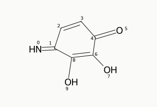 N=C1C=CC(=O)C(O)=C1O